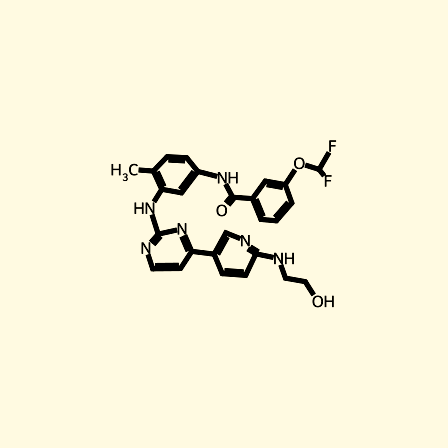 Cc1ccc(NC(=O)c2cccc(OC(F)F)c2)cc1Nc1nccc(-c2ccc(NCCO)nc2)n1